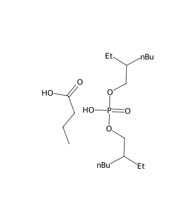 CCCC(=O)O.CCCCC(CC)COP(=O)(O)OCC(CC)CCCC